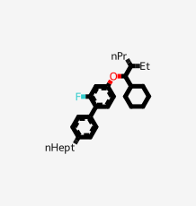 CCCCCCCc1ccc(-c2ccc(OC(C(CC)CCC)C3CCCCC3)cc2F)cc1